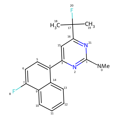 CNc1nc(-c2ccc(F)c3ccccc23)cc(C(C)(C)F)n1